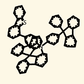 c1ccc(C2(c3ccc(N(c4ccc(-c5cccc6c5sc5ccccc56)cc4)c4cccc5c4C4(c6ccccc6-c6ccccc64)c4ccccc4-5)cc3)c3ccccc3-c3ccccc32)cc1